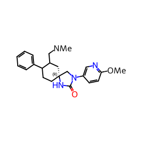 CNCC1C[C@]2(CCC1c1ccccc1)CN(c1ccc(OC)nc1)C(=O)N2